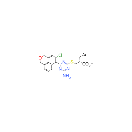 CC(=O)C[C@@H](CSc1nc(N)nc(-c2c(Cl)cc3c4c(cccc24)COC3)n1)C(=O)O